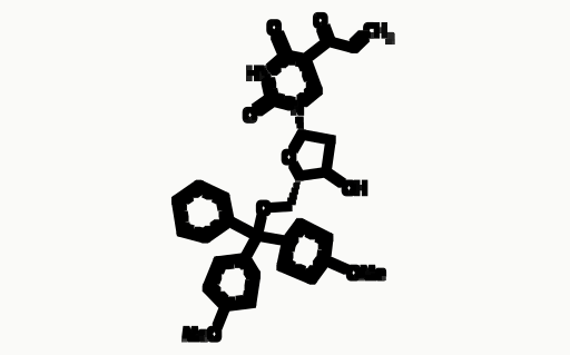 C=CC(=O)c1cn([C@@H]2CC(O)[C@H](COC(c3ccccc3)(c3ccc(OC)cc3)c3ccc(OC)cc3)O2)c(=O)[nH]c1=O